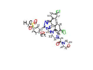 CCOc1ccc(S(C)(=O)=O)cc1C1=NC(c2ccc(Cl)cc2)C(c2ccc(Cl)cc2)N1CN1CCN(CC(=O)N2CCOCC2)CC1